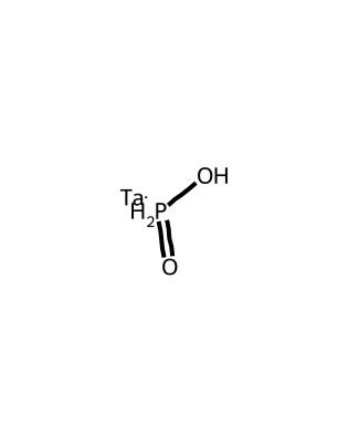 O=[PH2]O.[Ta]